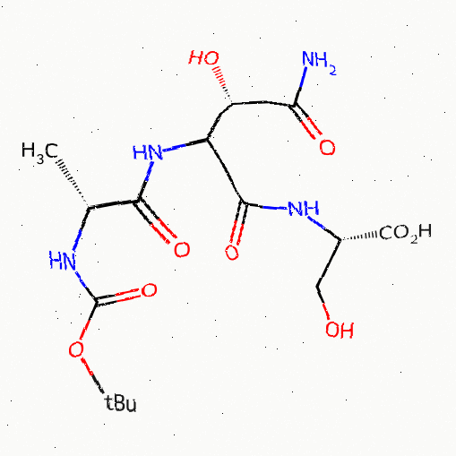 C[C@@H](NC(=O)OC(C)(C)C)C(=O)NC(C(=O)N[C@@H](CO)C(=O)O)[C@H](O)C(N)=O